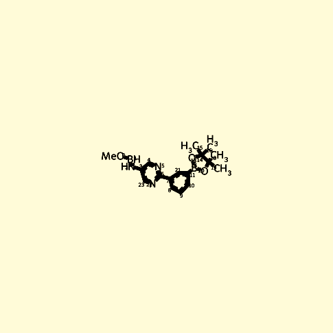 COBNc1cnc(-c2cccc(B3OC(C)(C)C(C)(C)O3)c2)nc1